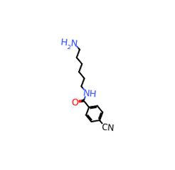 N#Cc1ccc(C(=O)NCCCCCCN)cc1